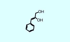 OCC(O)=Cc1ccccc1